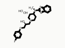 CN(c1nc2ccccc2s1)C1CCN(C[C@H](O)COc2ccc(F)cc2)CC1.Cl.Cl